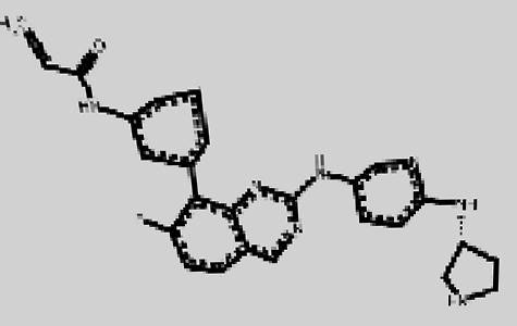 C=CC(=O)Nc1cccc(-c2c(F)ccc3cnc(Nc4ccc(N[C@@H]5CCNC5)nc4)nc23)c1